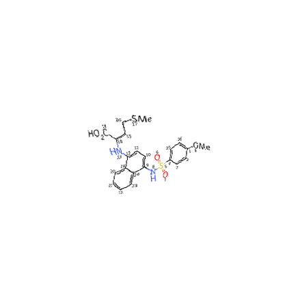 COc1ccc(S(=O)(=O)Nc2ccc(NC(CCSC)C(=O)O)c3ccccc23)cc1